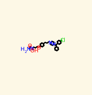 NC(=O)N(O)CCCOc1ccc(CCCN2CCN([C@H](c3ccccc3)c3ccc(Cl)cc3)CC2)cc1